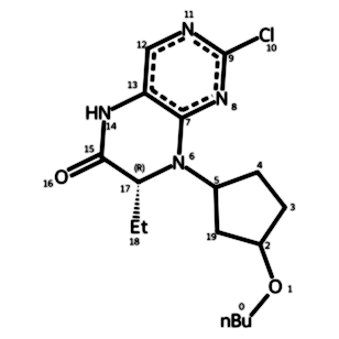 CCCCOC1CCC(N2c3nc(Cl)ncc3NC(=O)[C@H]2CC)C1